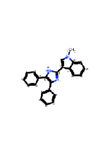 Cn1cc(-c2nc(-c3ccccc3)c(-c3ccccc3)[nH]2)c2ccccc21